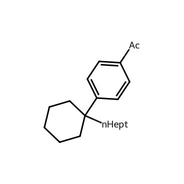 CCCCCCCC1(c2ccc(C(C)=O)cc2)CCCCC1